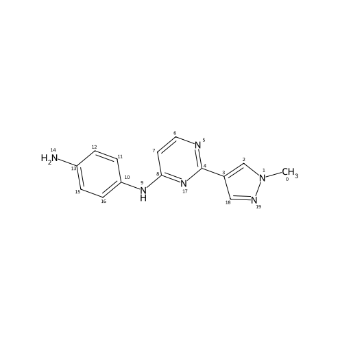 Cn1cc(-c2nccc(Nc3ccc(N)cc3)n2)cn1